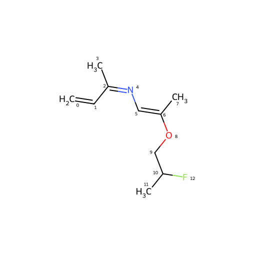 C=C/C(C)=N\C=C(/C)OCC(C)F